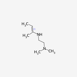 C/C=C(\C)NCCN(C)C